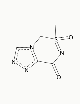 CS1(=O)=NC(=O)c2nncn2C1